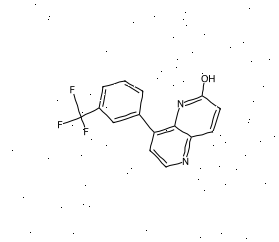 Oc1ccc2nccc(-c3cccc(C(F)(F)F)c3)c2n1